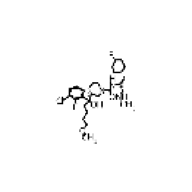 CNC[C@H](C[C@H]1CC[C@@H](F)CC1)NC(=O)N1CCC[C@@H]([C@@](O)(CCCCOC)c2cccc(Cl)c2F)C1